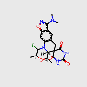 C[C@@H]1O[C@H](C)[C@@H]2N(c3cc4onc(N(C)C)c4cc3CC23C(=O)NC(=O)NC3=O)C1F